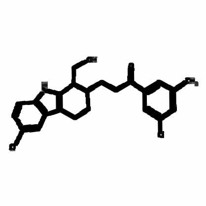 Cc1cc(Cl)cc(C(=O)CCC2CCc3c([nH]c4ccc(Cl)cc34)C2CO)c1